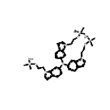 CC(C)(C)[Si](C)(C)OCCn1ccc2cc[c]([Bi]([c]3ccc4ccn(CCO[Si](C)(C)C(C)(C)C)c4c3)[c]3ccc4ccn(CCO[Si](C)(C)C(C)(C)C)c4c3)cc21